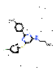 COCCNc1cc(Sc2ccc(Cl)cc2)nc(-c2ccc(OC)cc2)n1